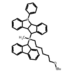 CC(C)(C)OCCCCCC[Si](C)(C1c2ccccc2-c2ccccc21)C1c2ccccc2C2C1c1ccccc1N2c1ccccc1